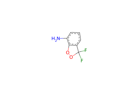 Nc1cccc2c1OOC2(F)F